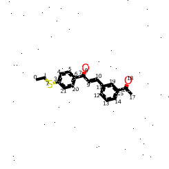 CCSc1ccc(C(=O)C=Cc2cccc(C(C)=O)c2)cc1